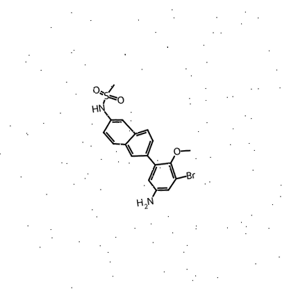 COc1c(Br)cc(N)cc1-c1ccc2cc(NS(C)(=O)=O)ccc2c1